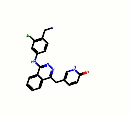 O=c1ccc(Cc2nnc(Nc3ccc(CI)c(Br)c3)c3ccccc23)c[nH]1